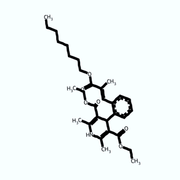 CCCCCCCCOC(=O)/C(C)=C/c1ccccc1C1C(C(=O)OCC)=C(C)NC(C)=C1C(=O)OCC